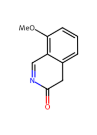 COc1cccc2c1C=NC(=O)C2